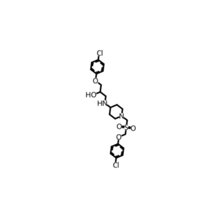 O=S(=O)(COc1ccc(Cl)cc1)CN1CCC(NCC(O)COc2ccc(Cl)cc2)CC1